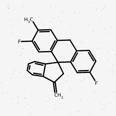 C=C1CC2(c3cc(F)ccc3Cc3cc(C)c(F)cc32)c2ccccc21